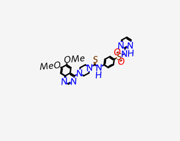 COc1cc2ncnc(N3CCN(C(=S)Nc4ccc(S(=O)(=O)Nc5ncccn5)cc4)CC3)c2cc1OC